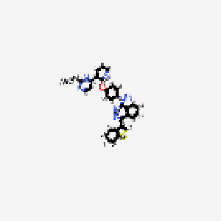 CNc1nccc(-c2cccnc2Oc2ccc(Nc3nnc(-c4csc5ccccc45)c4ccccc34)cc2)n1